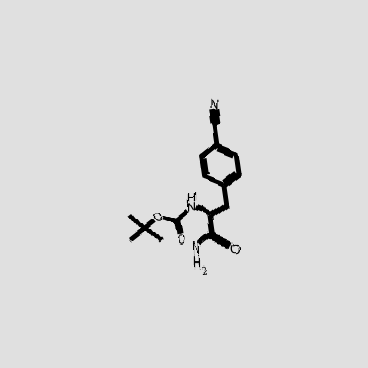 CC(C)(C)OC(=O)NC(Cc1ccc(C#N)cc1)C(N)=O